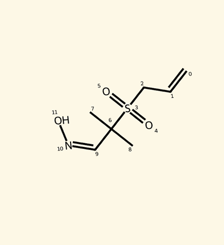 C=CCS(=O)(=O)C(C)(C)/C=N\O